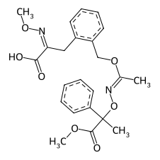 CON=C(Cc1ccccc1COC(C)=NOC(C)(C(=O)OC)c1ccccc1)C(=O)O